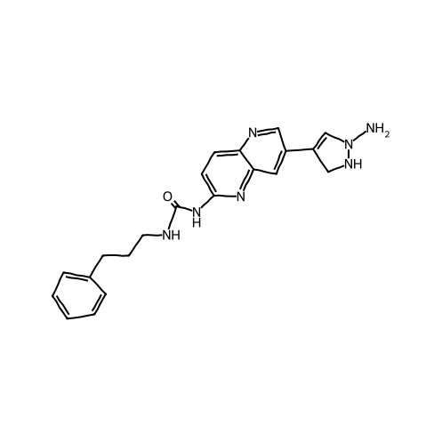 NN1C=C(c2cnc3ccc(NC(=O)NCCCc4ccccc4)nc3c2)CN1